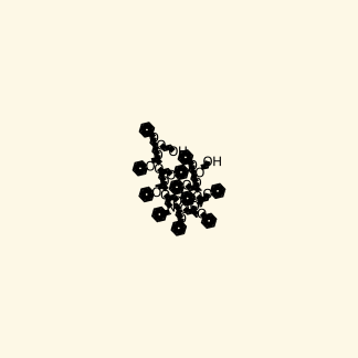 OCCOC(COc1ccccc1)COC(COc1ccccc1)COC(COc1ccccc1)COC(COc1ccccc1)COC(COc1ccccc1)CN(Cc1ccccc1)CC(COc1ccccc1)OCC(COc1ccccc1)OCC(COc1ccccc1)OCC(COc1ccccc1)OCC(COc1ccccc1)OCCO